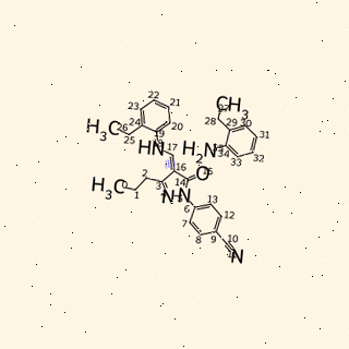 CCCC1=NN(c2ccc(C#N)cc2)C(=O)/C1=C/Nc1ccccc1CC.CCc1ccccc1N